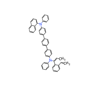 C=Cc1ccccc1/C(=C\C)N(c1ccccc1)c1ccc(-c2ccc(-c3ccc(N(c4ccccc4)c4cccc5ccccc45)cc3)cc2)cc1